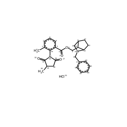 Cc1cccc(C(=O)OCC2C3CCC2N(Cc2ccccc2)C3)c1N1C(=O)CC(C)C1=O.Cl